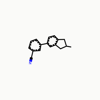 CC1Cc2ccc(-c3cccc(C#N)c3)cc2C1